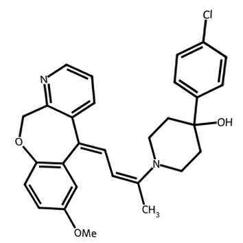 COc1ccc2c(c1)C(=CC=C(C)N1CCC(O)(c3ccc(Cl)cc3)CC1)c1cccnc1CO2